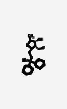 C[C@@H]1O[C@H](CO[Si](c2ccccc2)(c2ccccc2)C(C)(C)C)[C@@H](CF)[C@H]1O